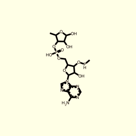 CPOC1C(COP(=O)(O)OC2C(C)OC(O)C2O)OC(n2cnc3c(N)ncnc32)C1O